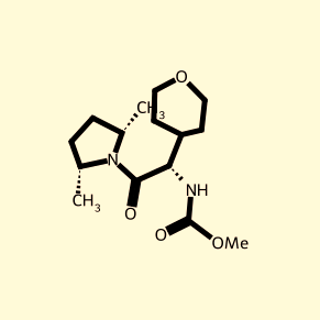 COC(=O)N[C@H](C(=O)N1[C@H](C)CC[C@@H]1C)C1CCOCC1